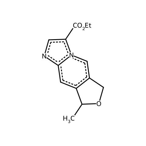 CCOC(=O)c1cnc2cc3c(cn12)COC3C